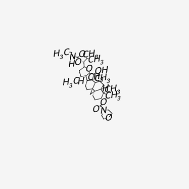 CCNC(=O)O[C@H](C(C)C)C1C[C@@H](C)[C@H]2C(O1)[C@H](O)[C@@]1(C)C3CC[C@H]4C(C)(C)C(OC(=O)N5CCOCC5)CC[C@@]45C[C@@]35CC[C@]21C